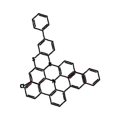 Clc1cc2c3c(c1)N(c1c(-c4ccccc4)cccc1-c1ccccc1)c1cc(-c4ccccc4)ccc1B3c1ccc(-c3ccccc3)cc1S2